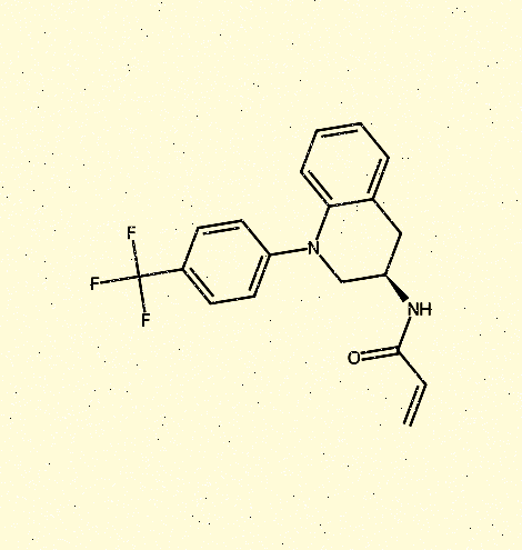 C=CC(=O)N[C@@H]1Cc2ccccc2N(c2ccc(C(F)(F)F)cc2)C1